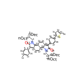 CCCCCCCCCCC(CCCCCCCC)CN1C(=O)C(c2ccc(C)cc2)=c2ccc3c4c(ccc3c21)=C(c1ccc(-c2ccc(C)s2)cc1)C(=O)N4CC(CCCCCCCC)CCCCCCCCCC